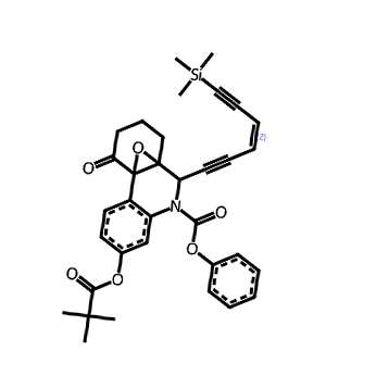 CC(C)(C)C(=O)Oc1ccc2c(c1)N(C(=O)Oc1ccccc1)C(C#C/C=C\C#C[Si](C)(C)C)C13CCCC(=O)C21O3